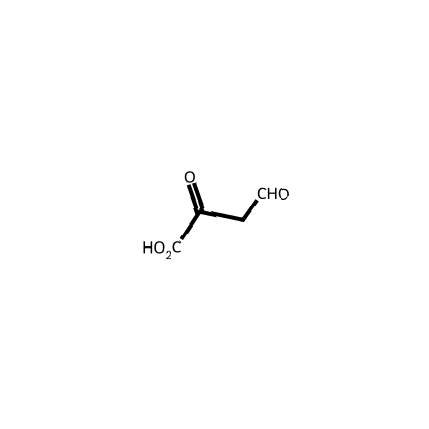 O=CCC(=O)C(=O)O